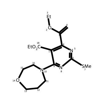 C=C(OCC)c1nc(SC)nc(N2CCCOCC2)c1C(=O)OCC